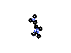 C#C/C=C\c1c(C)nc(-n2c3ccccc3c3cc(-c4ccc5c(c4)c4c(n5-c5ccccc5)CCC=C4)ccc32)nc1-c1ccccc1